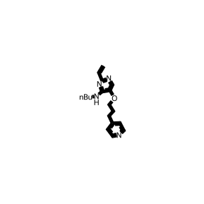 C=Cc1ncc(OCCCc2ccncc2)c(NCCCC)n1